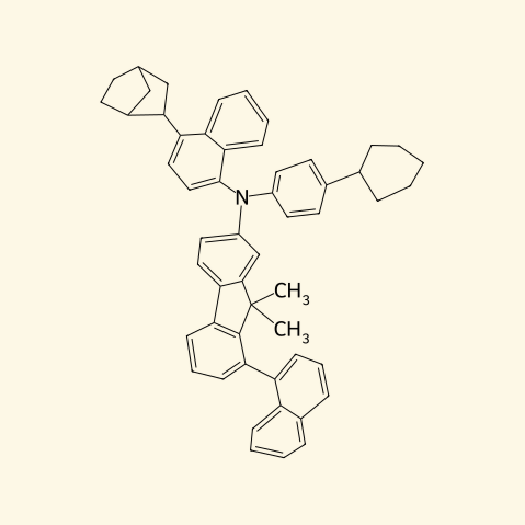 CC1(C)c2cc(N(c3ccc(C4CCCCC4)cc3)c3ccc(C4CC5CCC4C5)c4ccccc34)ccc2-c2cccc(-c3cccc4ccccc34)c21